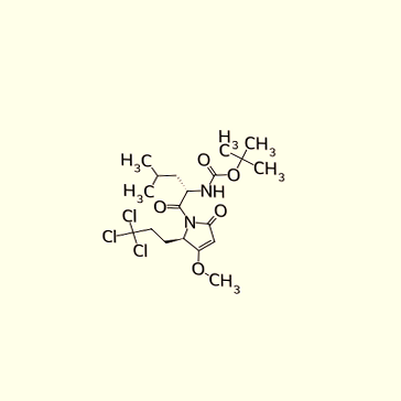 COC1=CC(=O)N(C(=O)[C@H](CC(C)C)NC(=O)OC(C)(C)C)[C@@H]1CCC(Cl)(Cl)Cl